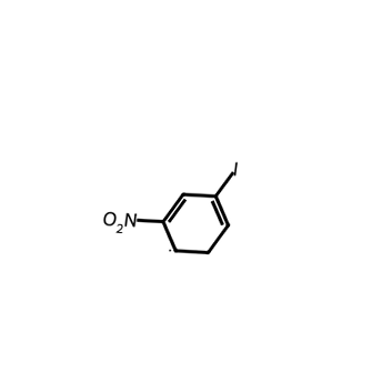 O=[N+]([O-])C1=CC(I)=CC[CH]1